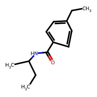 CCc1ccc(C(=O)NC(C)CC)cc1